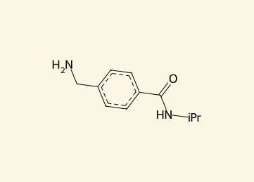 CC(C)NC(=O)c1ccc(CN)cc1